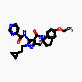 O=C(Nc1c2c(nn1CCC1CC1)C[C@]1(CCc3cc(OCC(F)(F)F)ccc31)NC2=O)c1ccncn1